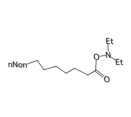 CCCCCCCCCCCCCCCC(=O)ON(CC)CC